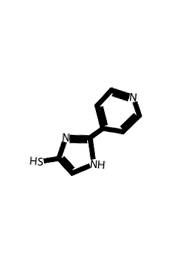 Sc1c[nH]c(-c2ccncc2)n1